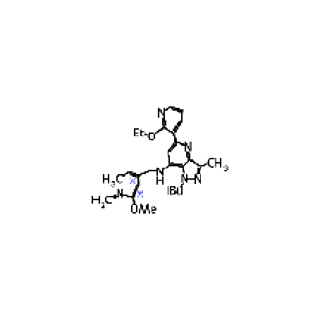 C=N/C(=C\C(=C/C)CNc1cc(-c2cccnc2OCC)nc2c(C)nn(C(C)CC)c12)OC